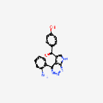 Nc1ccccc1-c1nnnc2[nH]cc(C(=O)c3ccc(O)cc3)c12